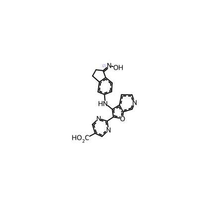 O=C(O)c1cnc(-c2oc3cnccc3c2Nc2ccc3c(c2)CC/C3=N/O)nc1